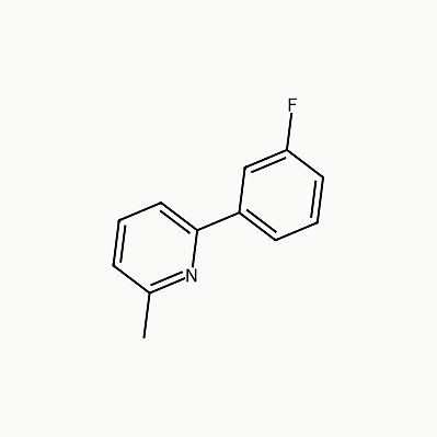 Cc1cccc(-c2cccc(F)c2)n1